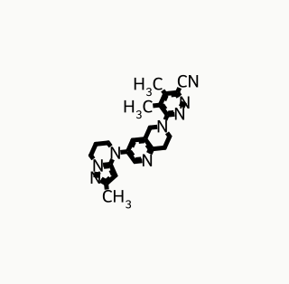 Cc1cc2n(n1)CCCN2c1cnc2c(c1)CN(c1nnc(C#N)c(C)c1C)CC2